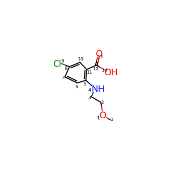 COCCNc1ccc(Cl)cc1C(=O)O